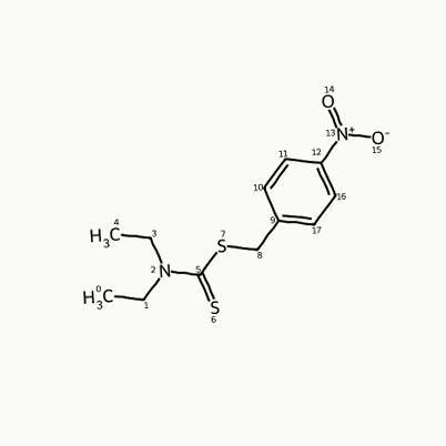 CCN(CC)C(=S)SCc1ccc([N+](=O)[O-])cc1